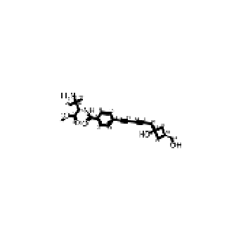 COC(=O)[C@@H](NC(=O)c1ccc(C#CC#CC[C@]2(O)C[C@@H](CO)C2)cc1)C(C)(C)N